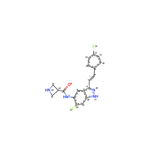 O=C(Nc1cc2c(/C=C/c3ccc(F)cc3)n[nH]c2cc1F)C1CNC1